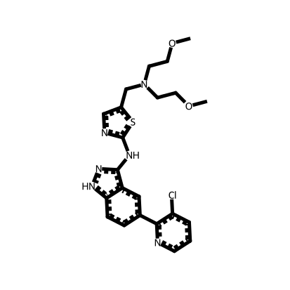 COCCN(CCOC)Cc1cnc(Nc2n[nH]c3ccc(-c4ncccc4Cl)cc23)s1